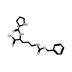 O=C(NCCCC(NC(=O)[C@H]1CCCN1)C(=O)O)OCc1ccccc1